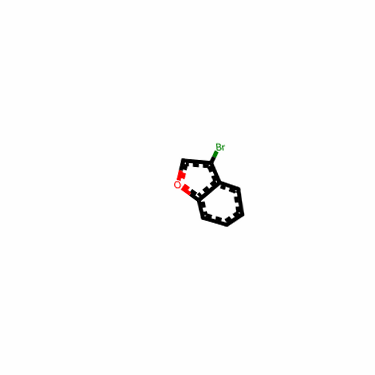 Brc1coc2ccccc12